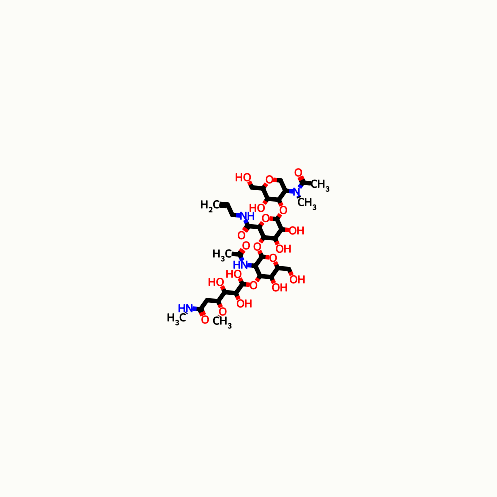 C=CCNC(=O)C1OC(OC2C(O)C(CO)OCC2N(C)C(C)=O)C(O)C(O)C1OC1OC(CO)C(O)C(OC(O)C(O)C(O)C(CC(=O)NC)OC)C1NC(C)=O